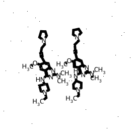 CCN1CCC(Nc2nc(N(C)C)nc3cc(C#CCCN4CCCC4)c(OC)cc23)CC1.CCN1CCC(Nc2nc(N(C)C)nc3cc(C#CCCN4CCCC4)c(OC)cc23)CC1